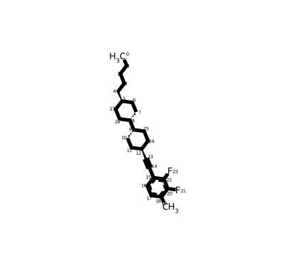 CCCCC[C@H]1CC[C@H]([C@H]2CC[C@H](C#Cc3ccc(C)c(F)c3F)CC2)CC1